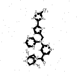 O=C(c1cnnc(N(Cc2ccc(-c3noc(C(F)(F)F)n3)s2)c2cnccn2)c1)N1C[C@H]2C[C@@H]1CO2